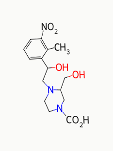 Cc1c(C(O)CN2CCN(C(=O)O)CC2CO)cccc1[N+](=O)[O-]